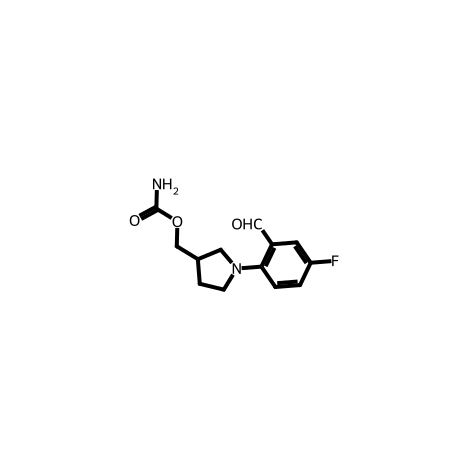 NC(=O)OCC1CCN(c2ccc(F)cc2C=O)C1